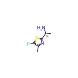 Cc1nc([C@H](C)N)sc1F